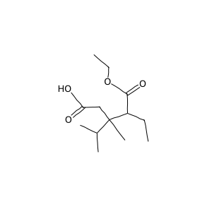 CCOC(=O)C(CC)C(C)(CC(=O)O)C(C)C